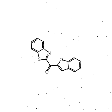 O=C(c1cc2ccccc2o1)c1nc2ccccc2s1